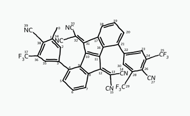 Cc1cc(-c2cccc3c2C2=C(C3=C(C#N)C#N)c3c(cccc3-c3cc(C(F)(F)F)c(C#N)c(C(F)(F)F)c3)C2=C(C#N)C#N)cc(C(F)(F)F)c1C#N